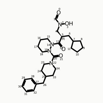 O=CN(O)C[C@@H](CC1CCCC1)C(=O)N1CCCCN1C(=O)N1CCC(Cc2ccccc2)CC1